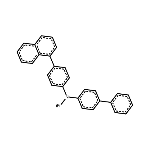 CC(C)N(c1ccc(-c2ccccc2)cc1)c1ccc(-c2cccc3ccccc23)cc1